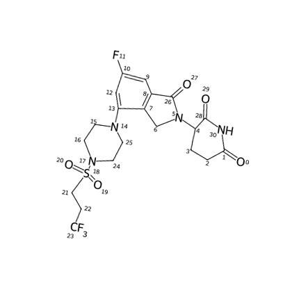 O=C1CCC(N2Cc3c(cc(F)cc3N3CCN(S(=O)(=O)CCC(F)(F)F)CC3)C2=O)C(=O)N1